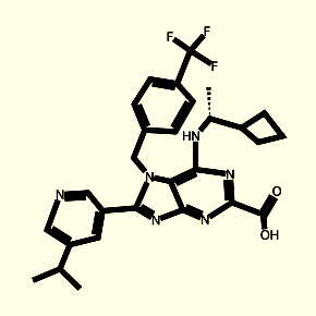 CC(C)c1cncc(-c2nc3nc(C(=O)O)nc(N[C@H](C)C4CCC4)c3n2Cc2ccc(C(F)(F)F)cc2)c1